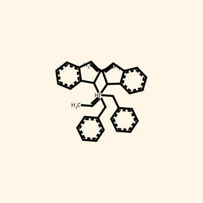 C[CH]=[Hf]([CH2]c1ccccc1)([CH2]c1ccccc1)([CH]1C(C)=Cc2ccccc21)[CH]1C(C)=Cc2ccccc21